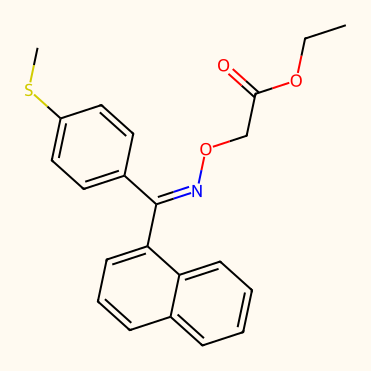 CCOC(=O)CON=C(c1ccc(SC)cc1)c1cccc2ccccc12